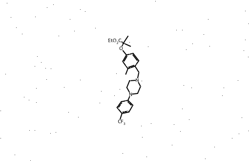 CCOC(=O)C(C)(C)Oc1ccc(CN2CCN(c3ccc(C(F)(F)F)cc3)CC2)c(C)c1